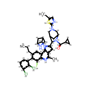 Cc1cnc(N2CC3CC(C2)N(C(=O)C2CC2)C3c2cc3c(C)nc4c(F)c(-c5cccc(Cl)c5Cl)c(CCC#N)cc4c3n2C2C3CNC2C3)s1